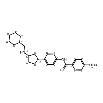 CC(C)COc1ccc(C(=O)Nc2ccc(N3CCC(NCC4CCCCC4)C3)cc2)cc1